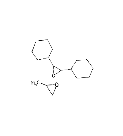 C1CCC(C2OC2C2CCCCC2)CC1.CC1CO1